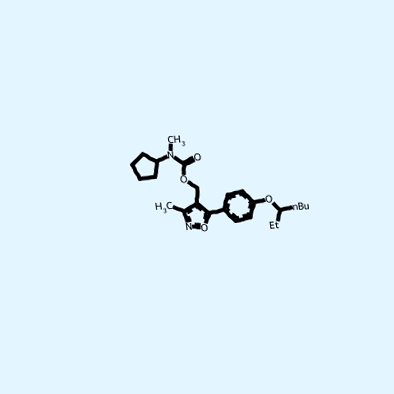 CCCCC(CC)Oc1ccc(-c2onc(C)c2COC(=O)N(C)C2CCCC2)cc1